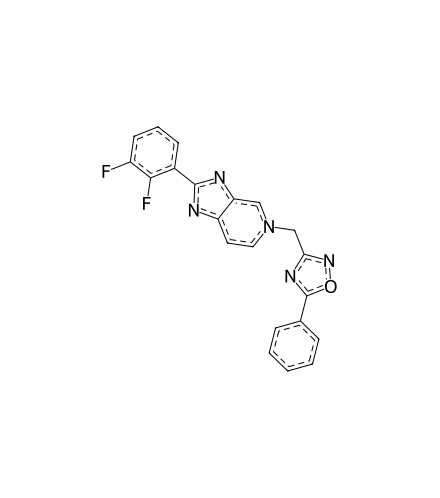 Fc1cccc(-c2nc3ccn(Cc4noc(-c5ccccc5)n4)cc-3n2)c1F